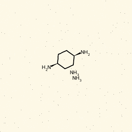 N.N.N[C@H]1CC[C@@H](N)CC1